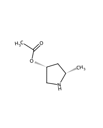 CC(=O)O[C@H]1CN[C@@H](C)C1